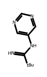 CC(C)(C)C(=N)Nc1cncnc1